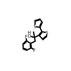 CC(O)(Cc1c(F)cccc1F)c1ccsc1-c1cccs1